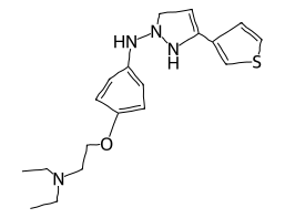 CCN(CC)CCOc1ccc(NN2CC=C(c3ccsc3)N2)cc1